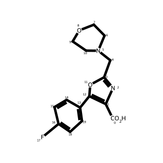 O=C(O)c1nc(CN2CCOCC2)oc1-c1ccc(F)cc1